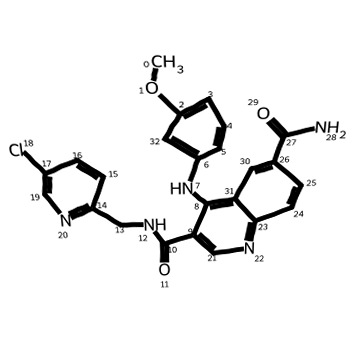 COc1cccc(Nc2c(C(=O)NCc3ccc(Cl)cn3)cnc3ccc(C(N)=O)cc23)c1